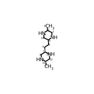 CC1CNC(CC[C@@H]2CN[C@H](C)CN2)CN1